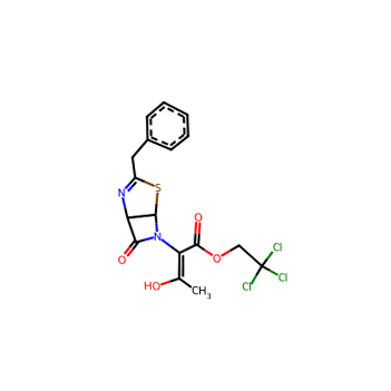 CC(O)=C(C(=O)OCC(Cl)(Cl)Cl)N1C(=O)C2N=C(Cc3ccccc3)SC21